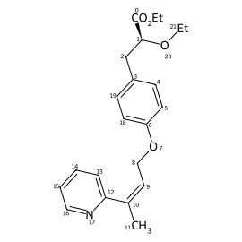 CCOC(=O)[C@H](Cc1ccc(OC/C=C(/C)c2ccccn2)cc1)OCC